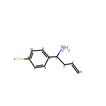 C=CCC(N)c1ccc(F)cc1